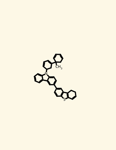 CC1(C2=CC=CC(n3c4ccccc4c4cc(-c5ccc6sc7c(c6c5)CCC=C7)ccc43)C2)C=CC=CC1